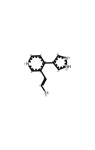 CC/C=C/c1cnccc1-c1cn[nH]c1